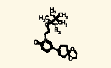 CC(C)(C)[Si](C)(C)OCCn1cc(C2=CCC3(CC2)OCCO3)ccc1=O